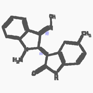 Cc1ccc2c(c1)/C(=C1\C(=N\O)c3ccccc3N1N)C(=O)N2